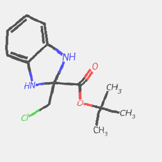 CC(C)(C)OC(=O)C1(CCl)Nc2ccccc2N1